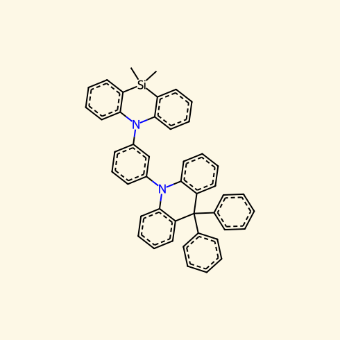 C[Si]1(C)c2ccccc2N(c2cccc(N3c4ccccc4C(c4ccccc4)(c4ccccc4)c4ccccc43)c2)c2ccccc21